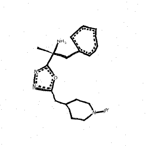 CC(C)N1CCC(Cc2nnc([C@](C)(N)Cc3ccccc3)o2)CC1